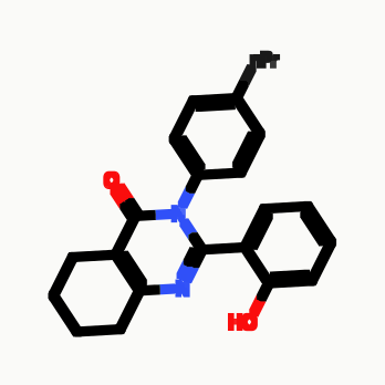 CCCc1ccc(-n2c(-c3ccccc3O)nc3c(c2=O)CCCC3)cc1